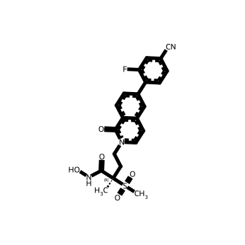 C[C@@](CCn1ccc2cc(-c3ccc(C#N)cc3F)ccc2c1=O)(C(=O)NO)S(C)(=O)=O